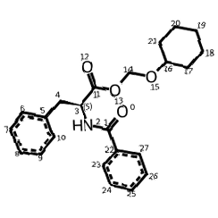 O=C(N[C@@H](Cc1ccccc1)C(=O)OCOC1CCCCC1)c1ccccc1